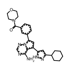 Nc1ncnn2c(-c3cccc(C(=O)N4CCOCC4)c3)cc(-c3cc(C4CCCCC4)n[nH]3)c12